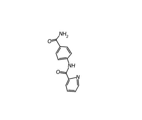 NC(=O)c1ccc(NC(=O)c2ccccn2)cc1